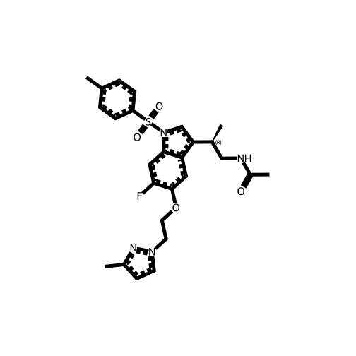 CC(=O)NC[C@H](C)c1cn(S(=O)(=O)c2ccc(C)cc2)c2cc(F)c(OCCn3ccc(C)n3)cc12